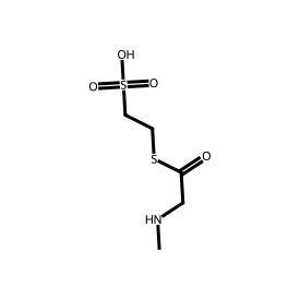 CNCC(=O)SCCS(=O)(=O)O